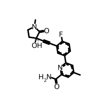 Cc1cc(C(N)=O)nc(-c2ccc(F)c(C#C[C@]3(O)CCN(C)C3=O)c2)c1